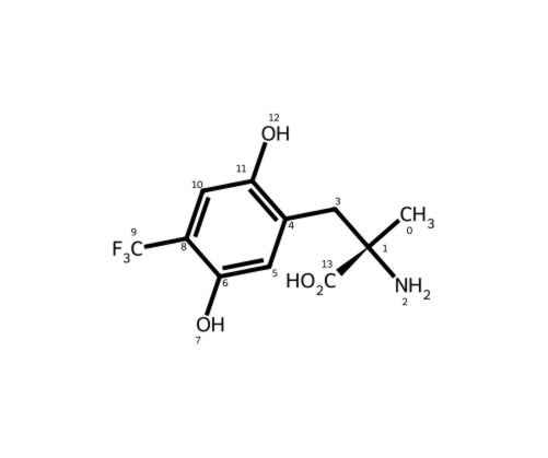 C[C@](N)(Cc1cc(O)c(C(F)(F)F)cc1O)C(=O)O